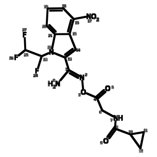 NC(=NOC(=O)CNC(=O)C1CC1)c1cc2c([N+](=O)[O-])cccc2n1C(F)C(F)F